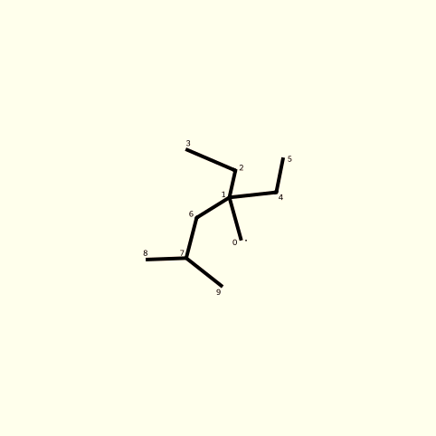 [CH2]C(CC)(CC)CC(C)C